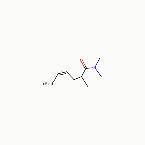 CCCCC/C=C\CC(C)C(=O)N(C)C